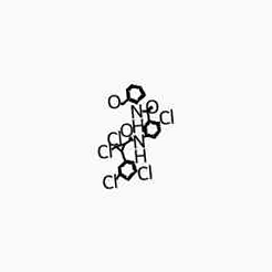 O=Cc1ccccc1NC(=O)c1cc(NC(=O)C2C(c3cc(Cl)cc(Cl)c3)C2(Cl)Cl)ccc1Cl